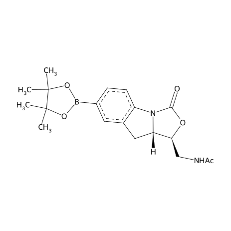 CC(=O)NC[C@@H]1OC(=O)N2c3ccc(B4OC(C)(C)C(C)(C)O4)cc3C[C@@H]12